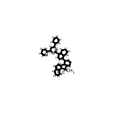 CC1(C)c2cccc(-c3ccc(-c4nc(-c5ccccc5)cc(-c5ccccn5)n4)c4ccccc34)c2-c2ccc3ccccc3c21